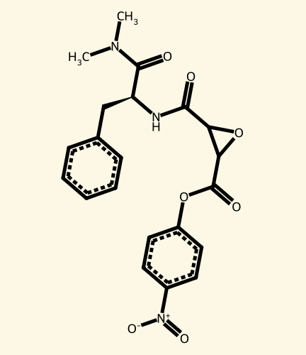 CN(C)C(=O)[C@H](Cc1ccccc1)NC(=O)C1OC1C(=O)Oc1ccc([N+](=O)[O-])cc1